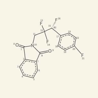 O=C1c2ccccc2C(=O)N1CC(F)(F)[C@H](F)c1ccc(F)cc1